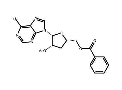 CC(=O)O[C@H]1C[C@@H](COC(=O)c2ccccc2)O[C@H]1n1cnc2c(Cl)ncnc21